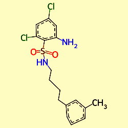 Cc1cccc(CCCCNS(=O)(=O)c2c(N)cc(Cl)cc2Cl)c1